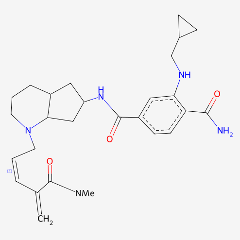 C=C(/C=C\CN1CCCC2CC(NC(=O)c3ccc(C(N)=O)c(NCC4CC4)c3)CC21)C(=O)NC